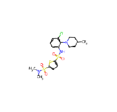 CN(C)S(=O)(=O)c1ccc(S(=O)(=O)Nc2cccc(Cl)c2N2CCC(C(F)(F)F)CC2)s1